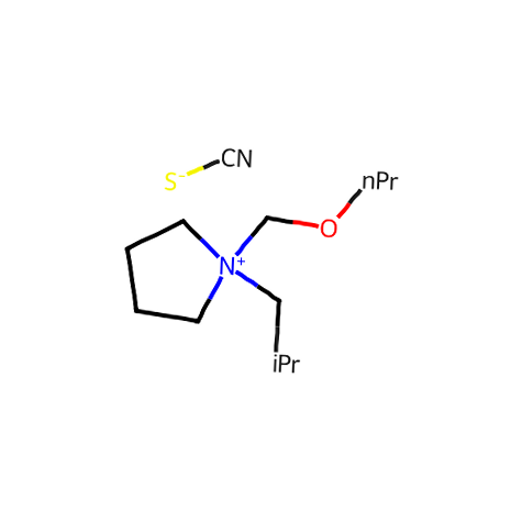 CCCOC[N+]1(CC(C)C)CCCC1.N#C[S-]